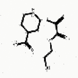 C=C(C)C(=O)OCCO.O=C(O)C1CCNCC1